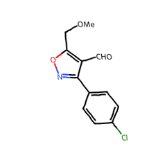 COCc1onc(-c2ccc(Cl)cc2)c1C=O